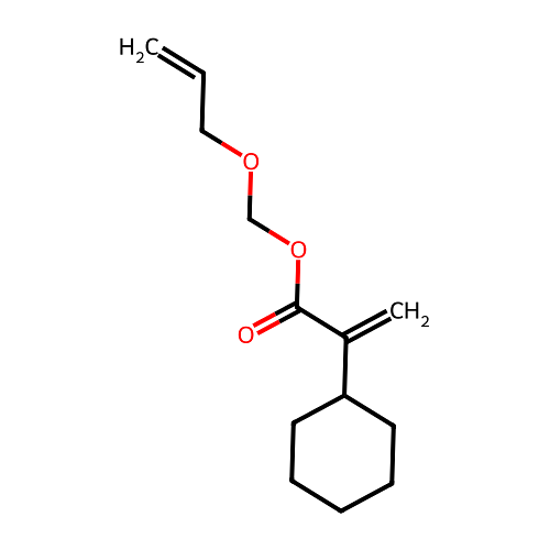 C=CCOCOC(=O)C(=C)C1CCCCC1